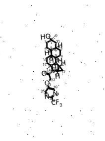 C[C@@]1(O)CC[C@H]2[C@H](CC[C@@H]3[C@@H]2CC[C@@]2(C)[C@H]3[C@@H]3C[C@@H]3[C@@H]2C(=O)COc2cnc(C(F)(F)F)nc2)C1